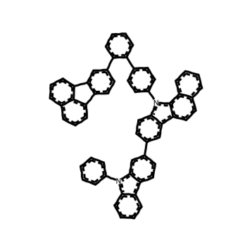 c1ccc(-n2c3ccccc3c3ccc(-c4ccc5c(c4)c4ccc6ccccc6c4n5-c4ccc(-c5ccccc5-c5ccc6c(c5)-c5cccc7cccc-6c57)cc4)cc32)cc1